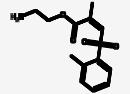 CC(=CS(=O)(=O)c1ccccc1C)C(=O)OCCN